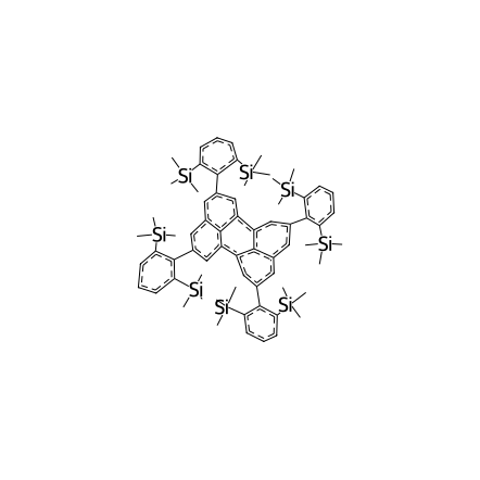 C[Si](C)(C)c1cccc([Si](C)(C)C)c1-c1cc2cc(-c3c([Si](C)(C)C)cccc3[Si](C)(C)C)cc3c4cc(-c5c([Si](C)(C)C)cccc5[Si](C)(C)C)cc5cc(-c6c([Si](C)(C)C)cccc6[Si](C)(C)C)cc(c(c1)c23)c54